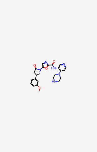 COc1cccc(C2CC(=O)N(c3cnc(C(=O)Nc4cnccc4N4CCNCC4)o3)C2)c1